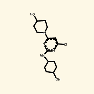 OC1CCC(Nc2nc(Cl)cc(N3CCC(O)CC3)n2)CC1